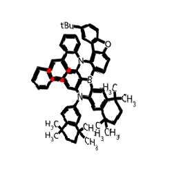 CC(C)(C)c1ccc2oc3ccc4c(c3c2c1)N(c1ccccc1-c1ccccc1)c1cc(-c2ccccc2)cc2c1B4c1cc3c(cc1N2c1ccc2c(c1)C(C)(C)CCC2(C)C)C(C)(C)CCC3(C)C